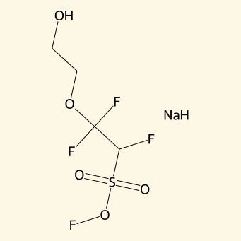 O=S(=O)(OF)C(F)C(F)(F)OCCO.[NaH]